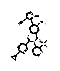 Cn1ncc(C#N)c1-c1ccc(CN(C(=O)c2ccc(C3CC3)nc2)c2cccnc2S(C)(=O)=O)cc1N